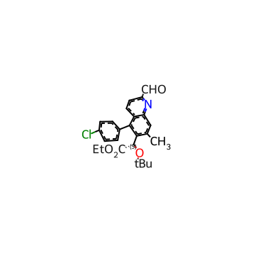 CCOC(=O)[C@@H](OC(C)(C)C)c1c(C)cc2nc(C=O)ccc2c1-c1ccc(Cl)cc1